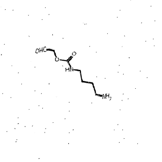 NCCCCNC(=O)OCC=O